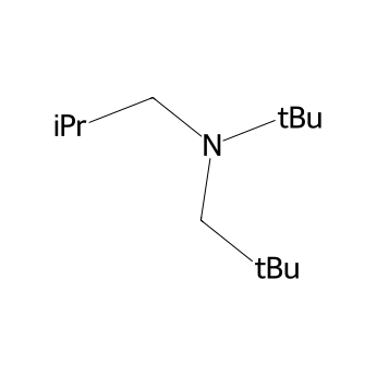 CC(C)CN(CC(C)(C)C)C(C)(C)C